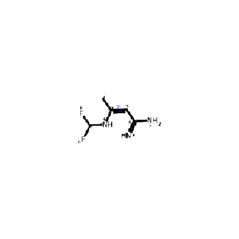 C/C(=C/C(=N)N)NC(F)F